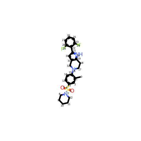 Cc1cc(S(=O)(=O)N2CCCCC2)ccc1N1CCc2[nH]c(-c3c(F)cccc3F)cc2C1